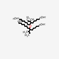 C=CC(C)C(CCCCCCCCCCCCCCC)C(CCCCCCCCCCCCCCCCC)OC(CCCCCCCCCCCCCCCCC)C(CCCCCCCCCCCCCCC)C(C)C=C